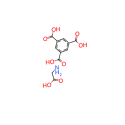 NCC(=O)O.O=C(O)c1cc(C(=O)O)cc(C(=O)O)c1